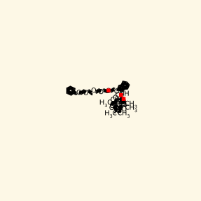 C[C@@H](C(=O)N[C@H](C(=O)N1CCC[C@H]1C(=O)N[C@H]1c2ccccc2C[C@H]1OCCOCCOCCOCCOCCOCc1ccccc1)C(C)(C)C)N(C)C(=O)OC(C)(C)C